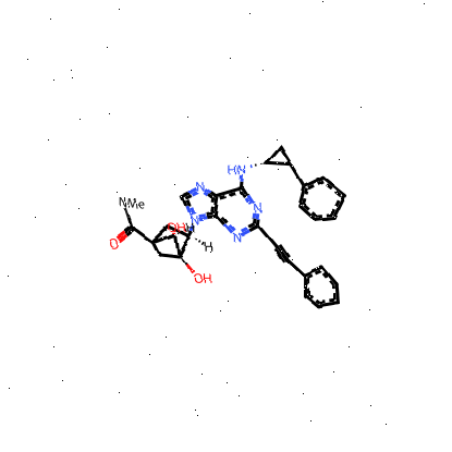 CNC(=O)C12C[C@@H](n3cnc4c(N[C@@H]5CC5c5ccccc5)nc(C#Cc5ccccc5)nc43)[C@](O)(C1)[C@@H]2O